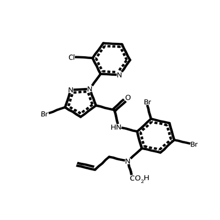 C=CCN(C(=O)O)c1cc(Br)cc(Br)c1NC(=O)c1cc(Br)nn1-c1ncccc1Cl